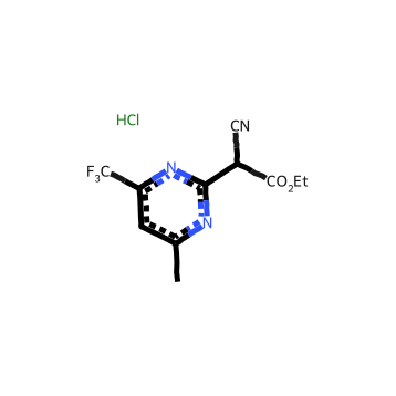 CCOC(=O)C(C#N)c1nc(C)cc(C(F)(F)F)n1.Cl